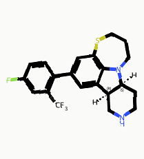 Fc1ccc(-c2cc3c4c(c2)[C@@H]2CNCC[C@@H]2N4CCCS3)c(C(F)(F)F)c1